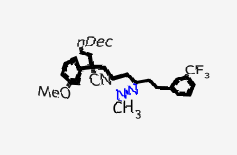 CCCCCCCCCCCCC(C#N)(CCCC(CCc1cccc(C(F)(F)F)c1)N=NC)c1cccc(OC)c1